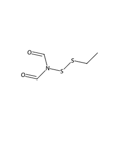 CCSSN([C]=O)C=O